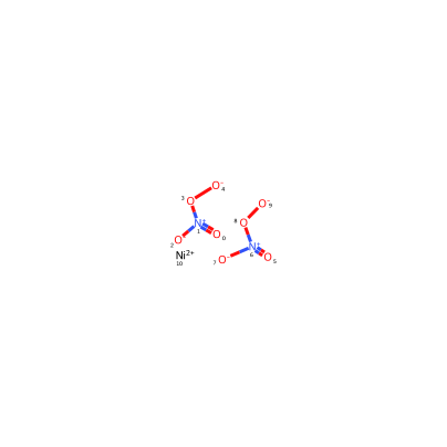 O=[N+]([O-])O[O-].O=[N+]([O-])O[O-].[Ni+2]